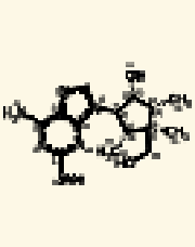 CSc1nc(N)c2ncn([C@H]3[C@H](O)[C@H](C)[C@@](C)(CO)[C@@H]3C)c2n1